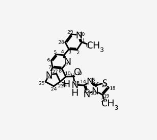 Cc1cc(-c2ccc3c(n2)C(C(=O)Nc2nc4scc(C)n4n2)[C@H]2CCN3C2)ccn1